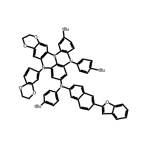 CC(C)(C)c1ccc(N(c2cc3c4c(c2)N(c2ccc5c(c2)OCCO5)c2cc5c(cc2B4c2cc(C(C)(C)C)ccc2N3c2ccc(C(C)(C)C)cc2)OCCO5)c2ccc3cc(-c4cc5ccccc5o4)ccc3c2)cc1